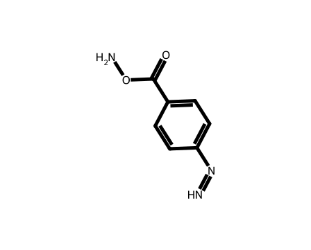 N=Nc1ccc(C(=O)ON)cc1